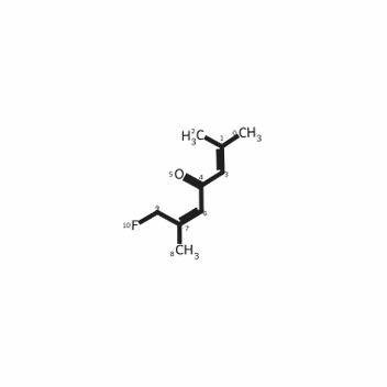 CC(C)=CC(=O)C=C(C)CF